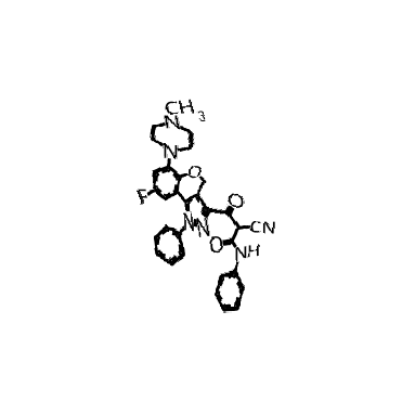 CN1CCN(c2cc(F)cc3c2OCc2c(C(=O)C(C#N)C(=O)Nc4ccccc4)nn(-c4ccccc4)c2-3)CC1